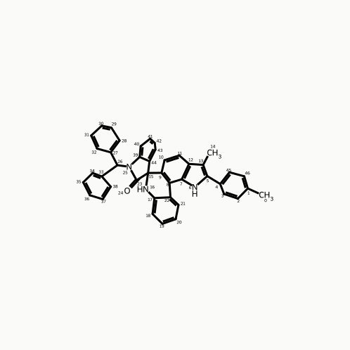 Cc1ccc(-c2[nH]c3c4c(ccc3c2C)C2(Nc3ccccc3-4)C(=O)N(C(c3ccccc3)c3ccccc3)c3ccccc32)cc1